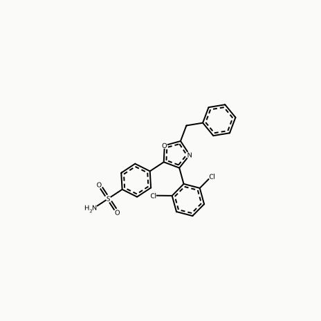 NS(=O)(=O)c1ccc(-c2oc(Cc3ccccc3)nc2-c2c(Cl)cccc2Cl)cc1